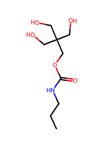 CCCNC(=O)OCC(CO)(CO)CO